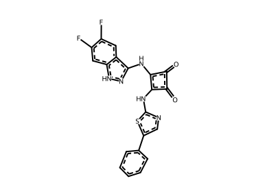 O=c1c(Nc2ncc(-c3ccccc3)s2)c(Nc2n[nH]c3cc(F)c(F)cc23)c1=O